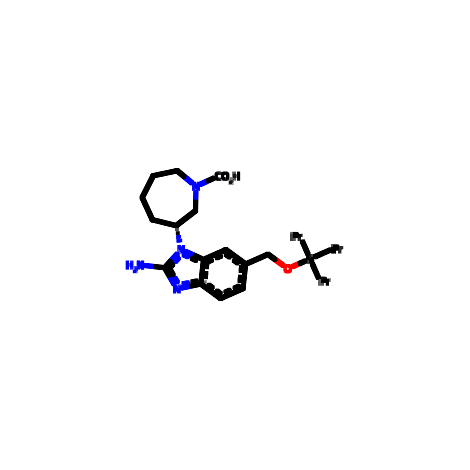 CC(C)[Si](OCc1ccc2nc(N)n([C@@H]3CCCCN(C(=O)O)C3)c2c1)(C(C)C)C(C)C